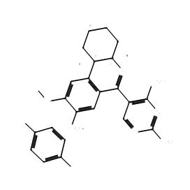 CCOc1cc2c(cc1OC)C(c1cnc(OC)nc1OC)=N[C@@H]1CC[C@@H](O)C[C@H]21.Cc1ccc(S(=O)(=O)O)cc1